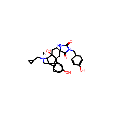 O=C1N[C@]2(CCC3(O)[C@@H]4N(CC5CC5)CC45C[C@@]3(C2)c2cc(O)ccc25)C(=O)N1CC1C=CC(O)=CC1